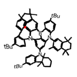 Cc1cc2c(cc1N1c3ccc(C(C)(C)C)cc3B3c4cc5c(cc4N(c4ccc(C(C)(C)C)cc4-c4ccccc4)c4cc(N6c7ccc(C(C)(C)C)cc7C7(C)CCCCC67C)cc1c43)C(C)(C)CC5(C)C)C(C)(C)CCC2(C)C